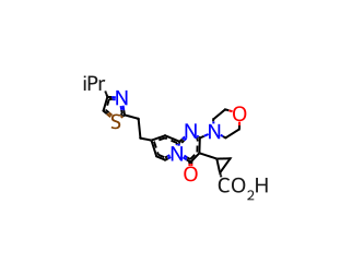 CC(C)c1csc(CCc2ccn3c(=O)c(C4CC4C(=O)O)c(N4CCOCC4)nc3c2)n1